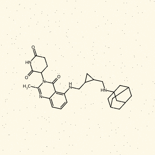 Cc1nc2cccc(NCC3CC3CNC34CC5CC(CC(C5)C3)C4)c2c(=O)n1C1CCC(=O)NC1=O